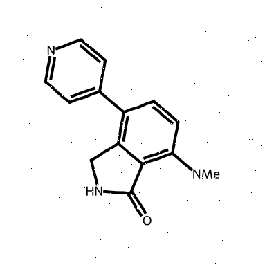 CNc1ccc(-c2ccncc2)c2c1C(=O)NC2